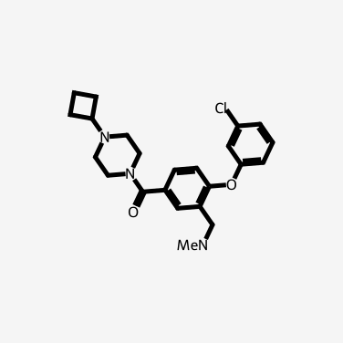 CNCc1cc(C(=O)N2CCN(C3CCC3)CC2)ccc1Oc1cccc(Cl)c1